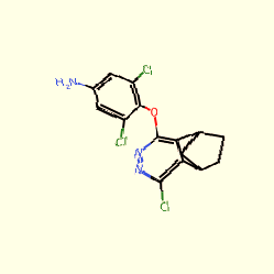 Nc1cc(Cl)c(Oc2nnc(Cl)c3c2C2CCC3C2)c(Cl)c1